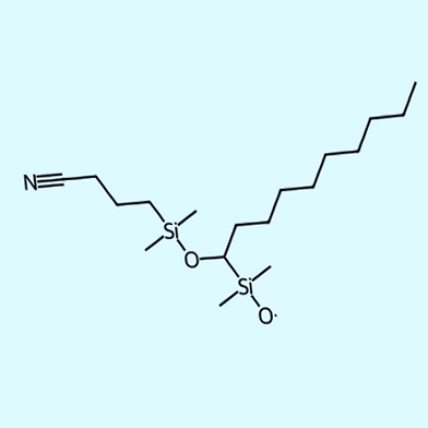 CCCCCCCCCC(O[Si](C)(C)CCCC#N)[Si](C)(C)[O]